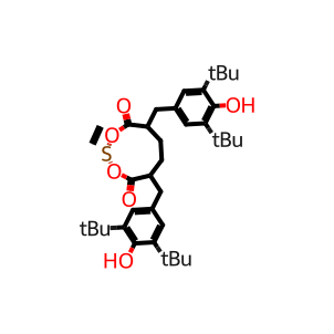 C=C.CC(C)(C)c1cc(CC2CCC(Cc3cc(C(C)(C)C)c(O)c(C(C)(C)C)c3)C(=O)OSOC2=O)cc(C(C)(C)C)c1O